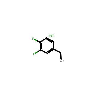 Cl.Fc1ccc([CH2][Zn])cc1F